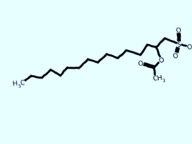 CCCCCCCCCCCCCCC(CS(=O)(=O)O)OC(C)=O